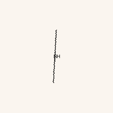 CCCCCCCCCCCCCCCCCCC=CC=CNC=CC=CCCCCCCCCCCCCCCCCCC